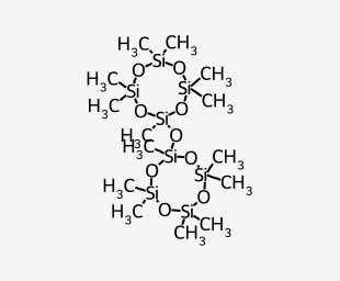 C[Si]1(C)O[Si](C)(C)O[Si](C)(O[Si]2(C)O[Si](C)(C)O[Si](C)(C)O[Si](C)(C)O2)O[Si](C)(C)O1